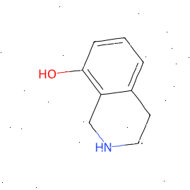 Oc1cccc2c1CN[CH]C2